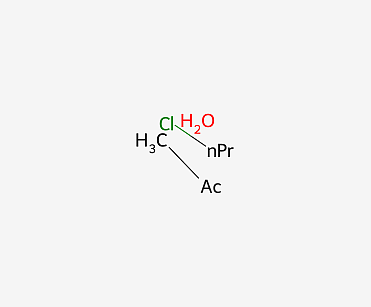 CC(C)=O.CCCCl.O